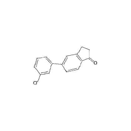 O=C1CCc2cc(-c3cccc(Cl)c3)ccc21